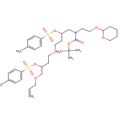 C=CCOCC(CCOCCC(CN(CCOC1CCCCO1)C(=O)OC(C)(C)C)OS(=O)(=O)c1ccc(C)cc1)OS(=O)(=O)c1ccc(C)cc1